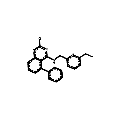 CCc1cccc(CNc2nc(Cl)nc3cccc(-c4ccccc4)c23)n1